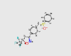 [O-][S+](Cc1ccc(C2=NOC(C(F)(F)F)C2)cc1)c1ccccc1